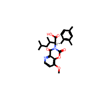 COc1ccnc2c(=O)n([C@](Cc3ccc(C)cc3C)(C(=O)O)C(C)CC(C)C)c(=O)oc12